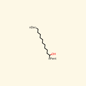 CCCCCCCCCCCCCCCCCCCCC(O)CCCCC